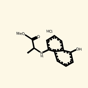 COC(=O)C(C)Nc1cccc2c(O)cccc12.Cl